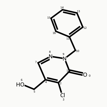 O=c1c(Cl)c(CO)cnn1Cc1ccccc1